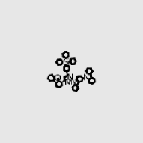 c1ccc([Si](c2ccccc2)(c2ccccc2)c2ccc(-c3cc(-c4cccc5c4oc4ccccc45)nc(-n4c5ccccc5c5cc(-n6c7ccccc7c7ccccc76)ccc54)n3)cc2)cc1